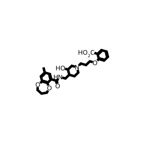 Cc1cc2c(c(C(=O)NCC3CCN(CCCOc4ccccc4C(=O)O)CC3O)c1)OCCCO2